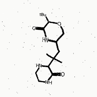 CC(C)(C)C1OCC(CC(C)(C)C2NCCNC2=O)NC1=O